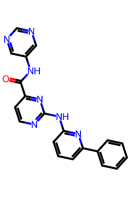 O=C(Nc1cncnc1)c1ccnc(Nc2cccc(-c3ccccc3)n2)n1